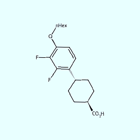 CCCCCCOc1ccc([C@H]2CC[C@H](C(=O)O)CC2)c(F)c1F